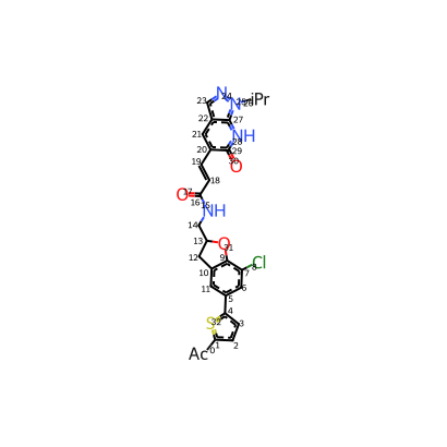 CC(=O)c1ccc(-c2cc(Cl)c3c(c2)CC(CNC(=O)C=Cc2cc4cnn(C(C)C)c4[nH]c2=O)O3)s1